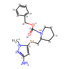 Cn1nc(N)cc1SCC1CCCCN1C(=O)OCc1ccccc1